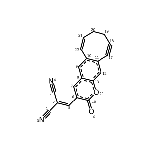 N#CC(C#N)=Cc1cc2cc3c(cc2oc1=O)C#CCC/C=C\3